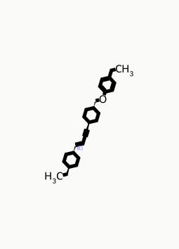 CCc1ccc(OC[C@H]2CC[C@H](C#C/C=C/[C@H]3CC[C@H](CC)CC3)CC2)cc1